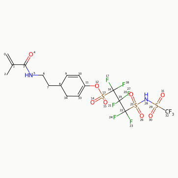 C=C(C)C(=O)NCCC1C=CC(OS(=O)(=O)C(F)(F)C(F)(F)C(F)(F)S(=O)(=O)NS(=O)(=O)C(F)(F)F)=CC1